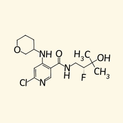 CC(C)(O)[C@H](F)CNC(=O)c1cnc(Cl)cc1NC1CCCOC1